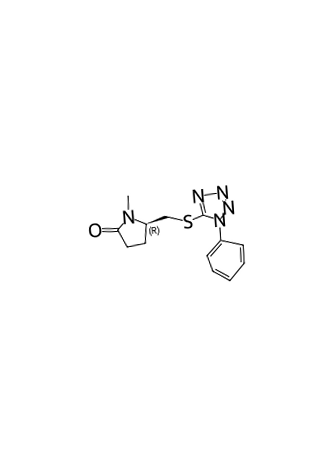 CN1C(=O)CC[C@@H]1CSc1nnnn1-c1ccccc1